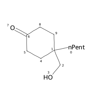 CCCCCC1(CO)CCC(=O)CC1